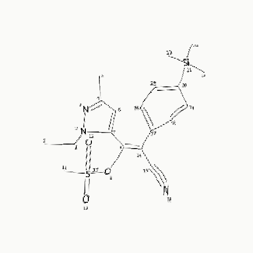 CCn1nc(C)cc1/C(OS(C)(=O)=O)=C(/C#N)c1ccc([Si](C)(C)C)cc1